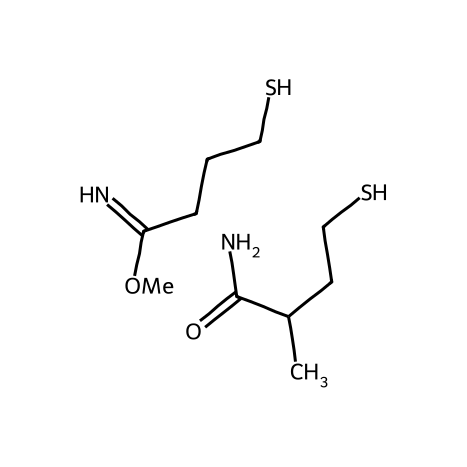 CC(CCS)C(N)=O.COC(=N)CCCS